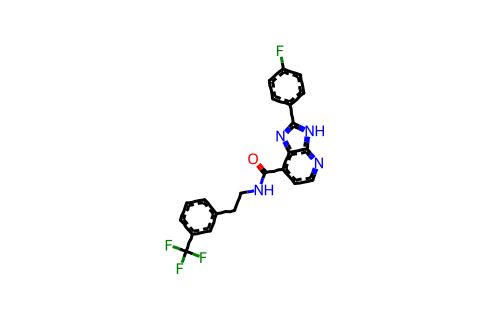 O=C(NCCc1cccc(C(F)(F)F)c1)c1ccnc2[nH]c(-c3ccc(F)cc3)nc12